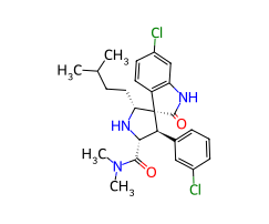 CC(C)CC[C@H]1N[C@@H](C(=O)N(C)C)[C@H](c2cccc(Cl)c2)[C@@]12C(=O)Nc1cc(Cl)ccc12